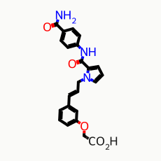 NC(=O)c1ccc(NC(=O)c2cccn2C/C=C/c2cccc(OCC(=O)O)c2)cc1